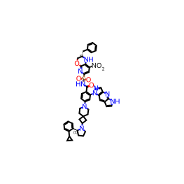 O=C(NS(=O)(=O)c1cc([N+](=O)[O-])c2c(n1)OC[C@H](Cc1ccccc1)N2)c1ccc(N2CCC3(CC2)CC(N2CCC[C@H]2c2ccccc2C2CC2)C3)cc1-n1ncc2nc3[nH]ccc3cc21